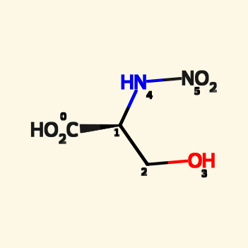 O=C(O)[C@H](CO)N[N+](=O)[O-]